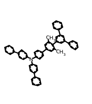 Cc1cc(-c2ccc(N(c3ccc(-c4ccccc4)cc3)c3ccc(-c4ccccc4)cc3)cc2)cc(C)c1-c1cc(-c2ccccc2)cc(-c2ccccc2)c1